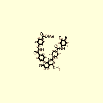 COC(=O)c1ccc(CNC(=O)c2ccc(-n3c(=O)ccc4c(C)nc(N5CCN(C(=O)Nc6ccc(F)c(F)c6)CC5)nc43)cc2)cc1